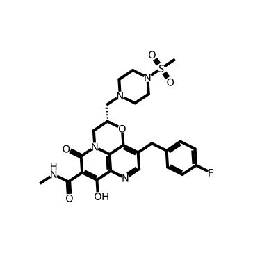 CNC(=O)c1c(O)c2ncc(Cc3ccc(F)cc3)c3c2n(c1=O)C[C@H](CN1CCN(S(C)(=O)=O)CC1)O3